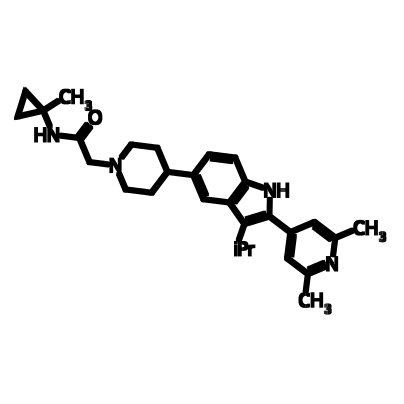 Cc1cc(-c2[nH]c3ccc(C4CCN(CC(=O)NC5(C)CC5)CC4)cc3c2C(C)C)cc(C)n1